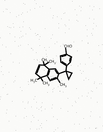 Cc1cc2c(cc1C1(c3ccc(C=O)cc3)CC1)C(C)(C)C=CC2(C)C